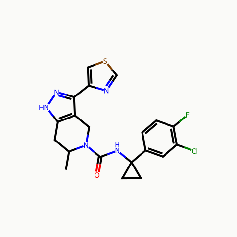 CC1Cc2[nH]nc(-c3cscn3)c2CN1C(=O)NC1(c2ccc(F)c(Cl)c2)CC1